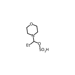 CCC(OS(=O)(=O)O)N1CCOCC1